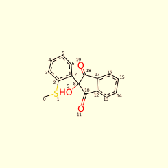 CSc1ccccc1C1(O)C(=O)c2ccccc2C1=O